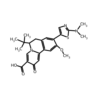 COc1cc2c(cc1-c1cnc(N(C)C)s1)CC(C(C)(C)C)n1cc(C(=O)O)c(=O)cc1-2